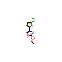 CCOc1nc(-c2ccc(Cl)s2)cs1